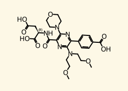 COCCN(CCOC)c1nc(C(=O)N[C@H](CC(=O)O)C(=O)O)c(N2CCOCC2)nc1-c1ccc(C(=O)O)cc1